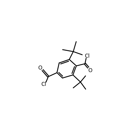 CC(C)(C)c1cc(C(=O)Cl)cc(C(C)(C)C)c1C(=O)Cl